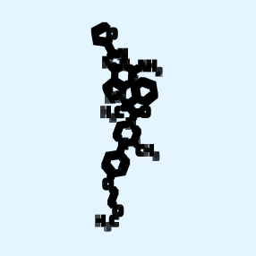 COCCOc1ccc(N2CCN(C(=O)C(C)(c3ccccc3)n3ncc4c3nc(N)n3nc(-c5ccco5)nc43)C[C@@H]2C)cc1